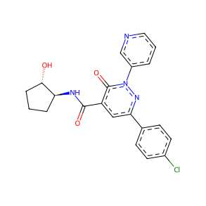 O=C(N[C@H]1CCC[C@@H]1O)c1cc(-c2ccc(Cl)cc2)nn(-c2cccnc2)c1=O